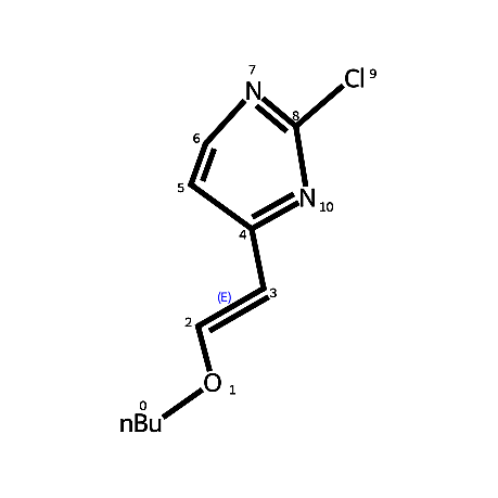 CCCCO/C=C/c1ccnc(Cl)n1